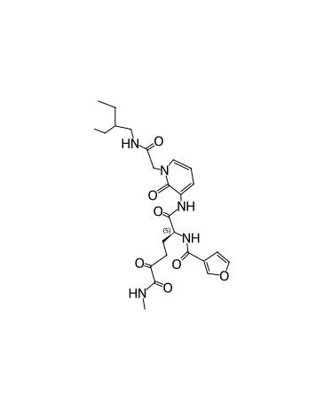 CCC(CC)CNC(=O)Cn1cccc(NC(=O)[C@H](CCC(=O)C(=O)NC)NC(=O)c2ccoc2)c1=O